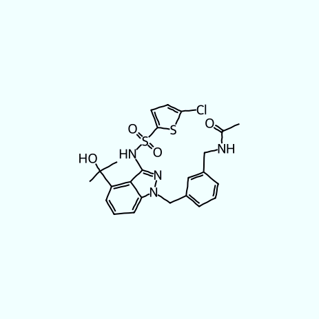 CC(=O)NCc1cccc(Cn2nc(NS(=O)(=O)c3ccc(Cl)s3)c3c(C(C)(C)O)cccc32)c1